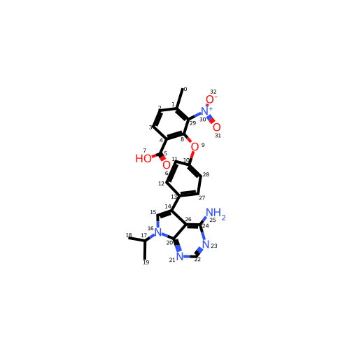 Cc1ccc(C(=O)O)c(Oc2ccc(-c3cn(C(C)C)c4ncnc(N)c34)cc2)c1[N+](=O)[O-]